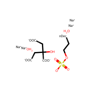 CCCCCCCCCCCCOS(=O)(=O)[O-].O.O.O=C([O-])CC(O)(CC(=O)[O-])C(=O)[O-].[Na+].[Na+].[Na+].[Na+]